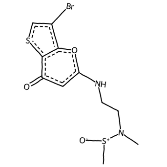 CN(CCNc1cc(=O)c2scc(Br)c2o1)[S+](C)[O-]